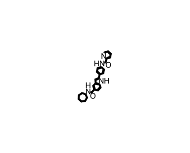 O=C(NC1CCCCCC1)c1ccc2[nH]c(-c3ccc(NC(=O)c4ccccn4)cc3)cc2c1